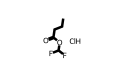 CCCC(=O)OC(F)F.Cl